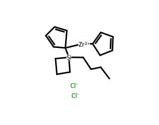 CCCC[Si]1([C]2([Zr+2][C]3=CC=CC3)C=CC=C2)CCC1.[Cl-].[Cl-]